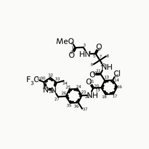 COC(=O)CNC(=O)C(C)(C)NC(=O)c1c(Cl)cccc1C(=O)Nc1ccc(Cn2nc(C(F)(F)F)cc2C)cc1C